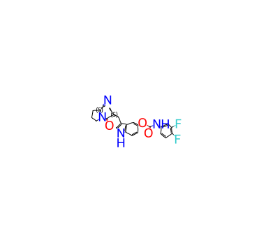 C[C@@H](Cc1c[nH]c2ccc(OC(=O)Nc3ccc(F)c(F)c3)cc12)C(=O)N1CCC[C@H]1C#N